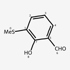 CSc1cccc(C=O)c1O